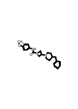 COc1ccc(NC(=O)N2CC(N3CCC(Cc4ccccc4)CC3)C2)cc1